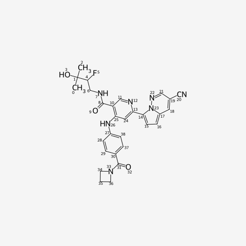 CC(C)(O)C(F)CNC(=O)c1cnc(-c2ccc3cc(C#N)cnn23)cc1Nc1ccc(C(=O)N2CCC2)cc1